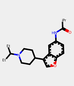 CCC(CC)N1CCC(c2coc3ccc(NC(=O)C(C)C)cc23)CC1